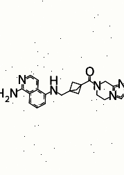 Nc1nccc2c(NCC34CC(C(=O)N5CCn6ccnc6C5)(C3)C4)cccc12